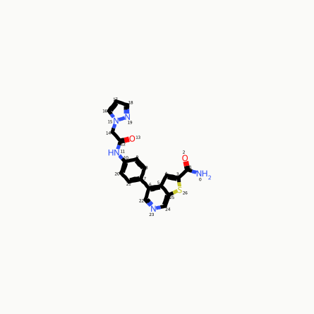 NC(=O)c1cc2c(-c3ccc(NC(=O)Cn4cccn4)cc3)cncc2s1